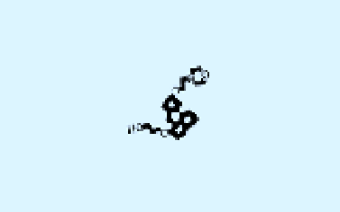 OCCCOc1ccc2ccccc2c1Cc1ccc(OCCN2CCOCC2)cc1